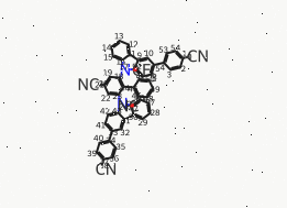 N#Cc1ccc(-c2ccc3c(c2)c2ccccc2n3-c2cc(C#N)cc(-n3c4ccccc4c4cc(-c5ccc(C#N)cc5)ccc43)c2-c2c(C#N)cccc2C(F)(F)F)cc1